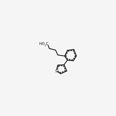 O=C(O)CCCc1ccccc1-c1ccsc1